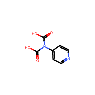 O=C(O)N(C(=O)O)c1ccncc1